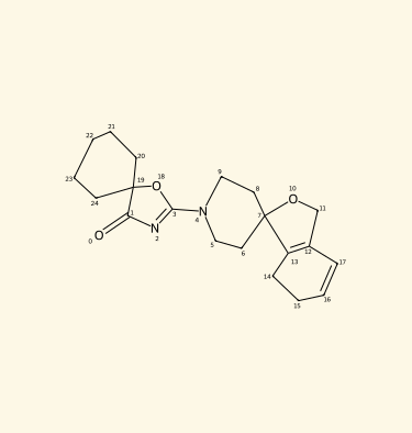 O=C1N=C(N2CCC3(CC2)OCC2=C3CCC=C2)OC12CCCCC2